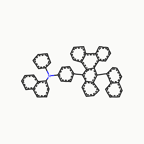 c1ccc(N(c2ccc(-c3c4ccccc4c(-c4cccc5ccccc45)c4c5ccccc5c5ccccc5c34)cc2)c2cccc3ccccc23)cc1